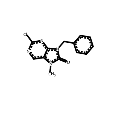 Cn1c(=O)n(Cc2ccccc2)c2nc(Cl)ncc21